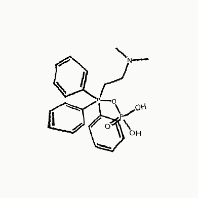 CN(C)CCP(OP(=O)(O)O)(c1ccccc1)(c1ccccc1)c1ccccc1